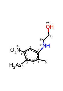 Cc1cc([AsH2])c([N+](=O)[O-])cc1NCCO